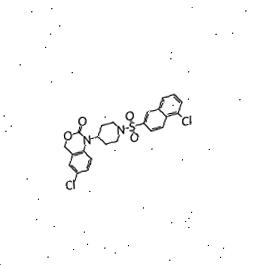 O=C1OCc2cc(Cl)ccc2N1C1CCN(S(=O)(=O)c2ccc3c(Cl)cccc3c2)CC1